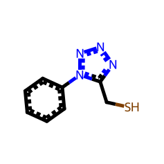 SCc1nnnn1-c1ccccc1